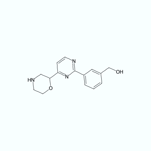 OCc1cccc(-c2nccc(C3CNCCO3)n2)c1